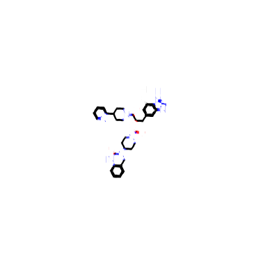 Cc1cc(CC(OC(=O)N2CCC(N3Cc4ccccc4NC3=O)CC2)C(=O)N2CCC(c3ccccn3)CC2)cc2nn[nH]c12